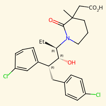 CC[C@H]([C@H](O)[C@H](Cc1ccc(Cl)cc1)c1cccc(Cl)c1)N1CCCC(C)(CC(=O)O)C1=O